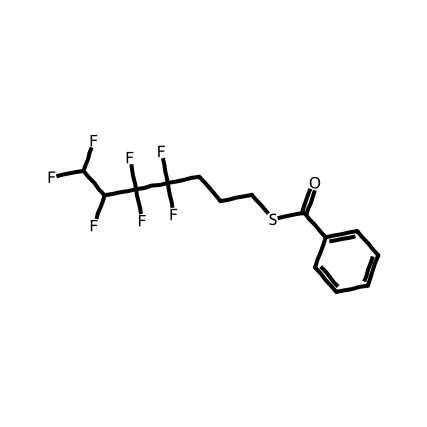 O=C(SCCCC(F)(F)C(F)(F)C(F)C(F)F)c1ccccc1